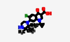 CC1(n2cc(C(=O)O)c(=O)c3cc(F)c(N4CCNC(C)(C)C4(C)C)cc32)CC1